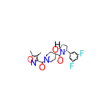 Cc1onc(C(=O)N2CCC3(CC2)O[C@@H]2CC[C@@H](c4cc(F)cc(F)c4)N2C3=O)c1C